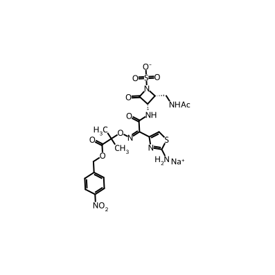 CC(=O)NC[C@@H]1[C@H](NC(=O)C(=NOC(C)(C)C(=O)OCc2ccc([N+](=O)[O-])cc2)c2csc(N)n2)C(=O)N1S(=O)(=O)[O-].[Na+]